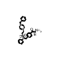 NNC(=O)c1ccc(CN(c2ccccc2)S(=O)(=O)CCN2CCN(Cc3ccccc3)CC2)cc1